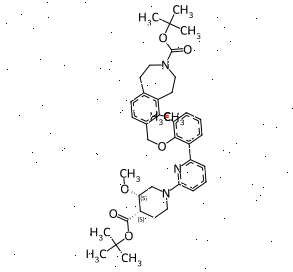 CO[C@@H]1CN(c2cccc(-c3cccc(C)c3OCc3ccc4c(c3C)CCN(C(=O)OC(C)(C)C)CC4)n2)CC[C@@H]1C(=O)OC(C)(C)C